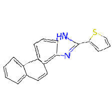 c1csc(-c2nc3c(ccc4c5ccccc5ccc43)[nH]2)c1